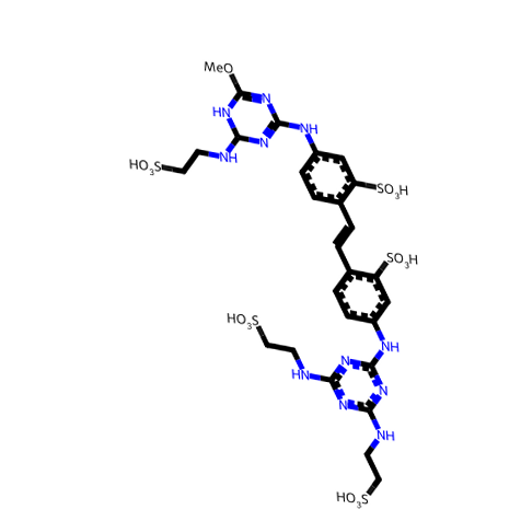 COC1=NC(Nc2ccc(C=Cc3ccc(Nc4nc(NCCS(=O)(=O)O)nc(NCCS(=O)(=O)O)n4)cc3S(=O)(=O)O)c(S(=O)(=O)O)c2)=NC(NCCS(=O)(=O)O)N1